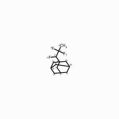 CC(F)(F)C(F)C12CC3CC(CC(C3)C1)C2